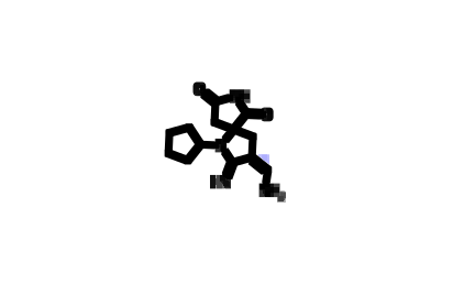 N=C1/C(=C\N)CC2(CC(=O)NC2=O)N1C1CCCC1